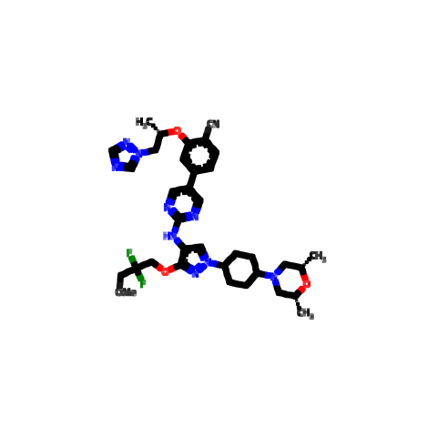 COCC(F)(F)COc1nn(C2CCC(N3C[C@@H](C)O[C@@H](C)C3)CC2)cc1Nc1ncc(-c2ccc(C#N)c(O[C@@H](C)Cn3cncn3)c2)cn1